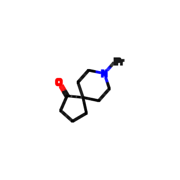 CC(C)N1CCC2(CCCC2=O)CC1